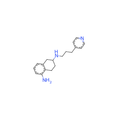 Nc1cccc2c1CCC(NCCCc1ccncc1)C2